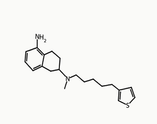 CN(CCCCCc1ccsc1)C1CCc2c(N)cccc2C1